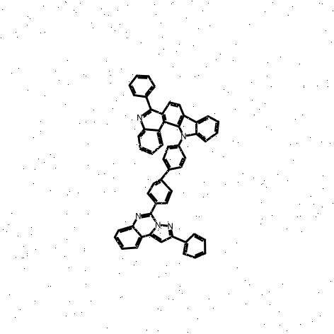 c1ccc(-c2cc3c4ccccc4nc(-c4ccc(-c5ccc(-n6c7ccccc7c7ccc8c(-c9ccccc9)nc9ccccc9c8c76)cc5)cc4)n3n2)cc1